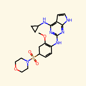 COC1=C(Nc2nc(NC3CC3)c3cc[nH]c3n2)C=CC(S(=O)(=O)N2CCOCC2)C1